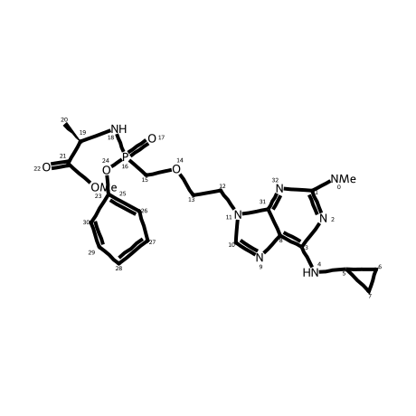 CNc1nc(NC2CC2)c2ncn(CCOCP(=O)(N[C@H](C)C(=O)OC)Oc3ccccc3)c2n1